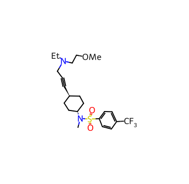 CCN(CC#C[C@H]1CC[C@H](N(C)S(=O)(=O)c2ccc(C(F)(F)F)cc2)CC1)CCOC